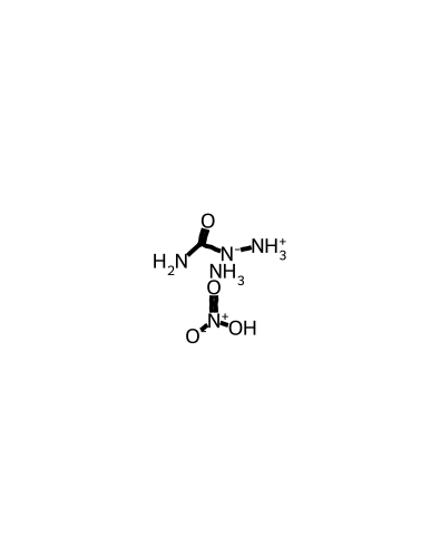 N.NC(=O)[N-][NH3+].O=[N+]([O-])O